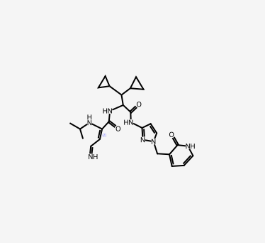 CC(C)N/C(=C\C=N)C(=O)NC(C(=O)Nc1ccn(Cc2ccc[nH]c2=O)n1)C(C1CC1)C1CC1